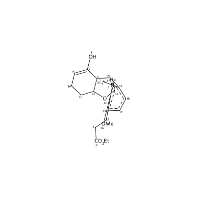 CCOC(=O)CCN1CC[C@@]23C(O)=CCCC2Oc2c(OC)ccc(c23)C1